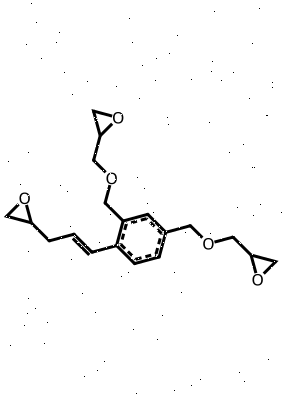 C(=Cc1ccc(COCC2CO2)cc1COCC1CO1)CC1CO1